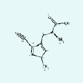 Cn1cc(C[C@H](N)C(=O)O)c(C#N)n1